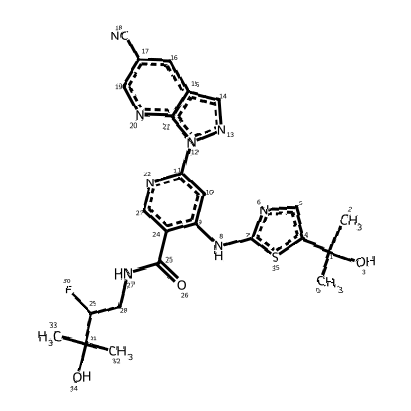 CC(C)(O)c1cnc(Nc2cc(-n3ncc4cc(C#N)cnc43)ncc2C(=O)NCC(F)C(C)(C)O)s1